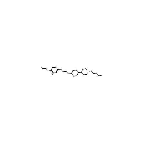 CCCCC[SiH]1CCC(C2CCC(CCCCc3ccc(OCCF)c(F)c3)CC2)CC1